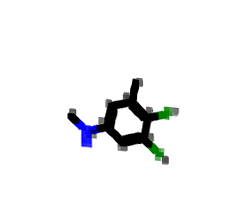 CNc1cc(C)c(F)c(F)c1